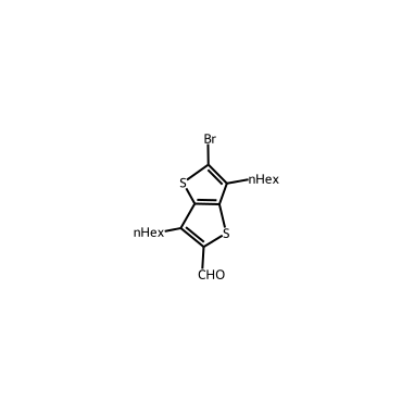 CCCCCCc1c(Br)sc2c(CCCCCC)c(C=O)sc12